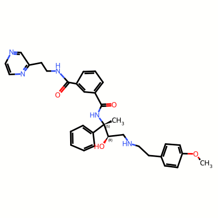 COc1ccc(CCNC[C@@H](O)[C@@](C)(NC(=O)c2cccc(C(=O)NCCc3cnccn3)c2)c2ccccc2)cc1